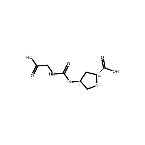 O=C(O)CNC(=O)N[C@@H]1CN[C@@H](C(=O)O)C1